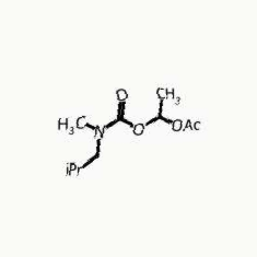 CC(=O)OC(C)OC(=O)N(C)CC(C)C